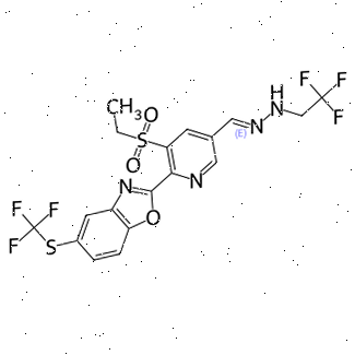 CCS(=O)(=O)c1cc(/C=N/NCC(F)(F)F)cnc1-c1nc2cc(SC(F)(F)F)ccc2o1